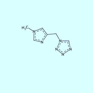 Cn1cnc(Cn2cnnn2)c1